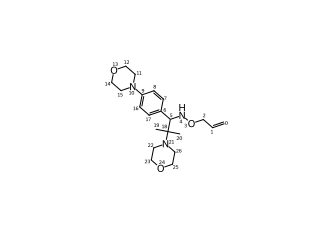 C=CCONC(c1ccc(N2CCOCC2)cc1)C(C)(C)N1CCOCC1